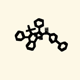 CC(C)(C)c1c(-c2ccccc2)c2ccccc2c2nc(Nc3ccc(-c4ccccc4)cc3)c(-c3ccccc3)n12